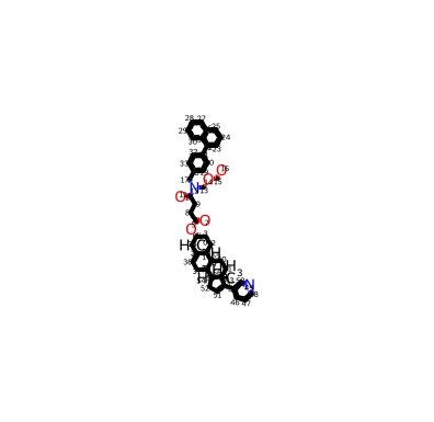 C[C@]12CC[C@H](OC(=O)CCC(=O)N(COC=O)Cc3ccc(-c4cccc5ccccc45)cc3)CC1=CC[C@@H]1[C@@H]2CC[C@]2(C)C(c3cccnc3)=CC[C@@H]12